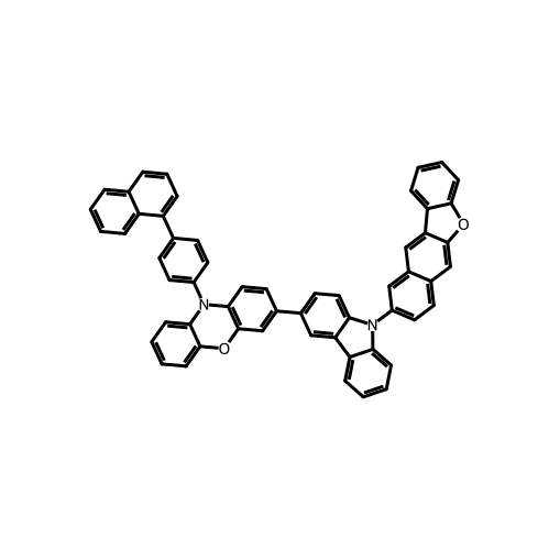 c1ccc2c(c1)Oc1cc(-c3ccc4c(c3)c3ccccc3n4-c3ccc4cc5oc6ccccc6c5cc4c3)ccc1N2c1ccc(-c2cccc3ccccc23)cc1